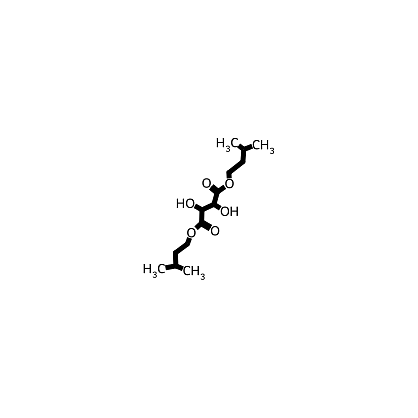 CC(C)CCOC(=O)C(O)C(O)C(=O)OCCC(C)C